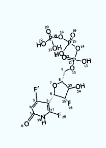 O=c1cc(F)c([C@@H]2O[C@H](COP(=O)(O)OP(=O)(O)OP(=O)(O)O)C(O)[C@@H]2F)c(F)[nH]1